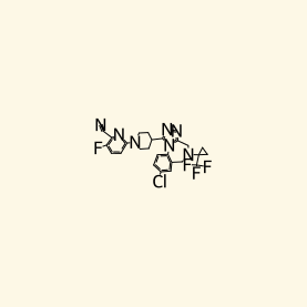 N#Cc1nc(N2CCC(c3nnc4n3-c3ccc(Cl)cc3CN(C3(C(F)(F)F)CC3)C4)CC2)ccc1F